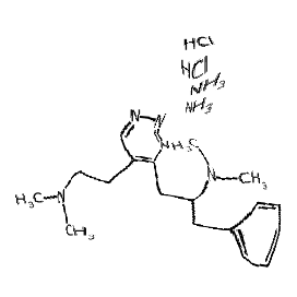 CN(C)CCc1cnnnc1CC(Cc1ccccc1)N(C)C.Cl.Cl.N.N